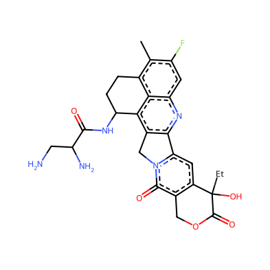 CCC1(O)C(=O)OCc2c1cc1n(c2=O)Cc2c-1nc1cc(F)c(C)c3c1c2C(NC(=O)C(N)CN)CC3